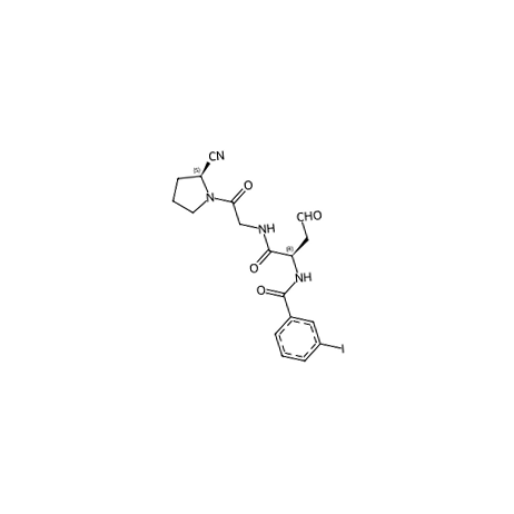 N#C[C@@H]1CCCN1C(=O)CNC(=O)[C@@H](CC=O)NC(=O)c1cccc(I)c1